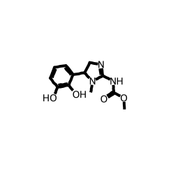 COC(=O)NC1=NCC(c2cccc(O)c2O)N1C